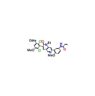 C=CC(=O)Nc1ccc(OC)c(-c2cc3c(cn2)cc(-c2c(Cl)c(OC)cc(OC)c2Cl)c(=O)n3CC)c1